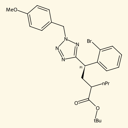 CCCC(C[C@@H](c1nnn(Cc2ccc(OC)cc2)n1)c1ccccc1Br)C(=O)OC(C)(C)C